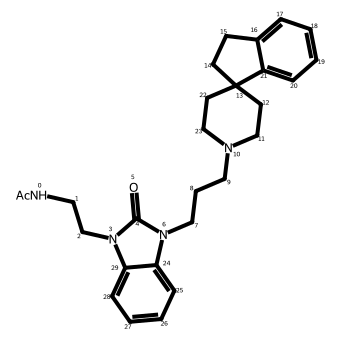 CC(=O)NCCn1c(=O)n(CCCN2CCC3(CCc4ccccc43)CC2)c2ccccc21